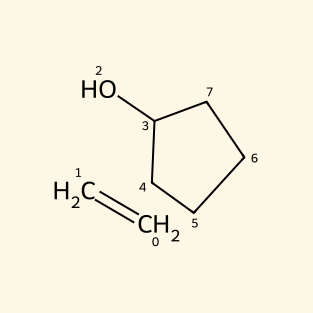 C=C.OC1CCCC1